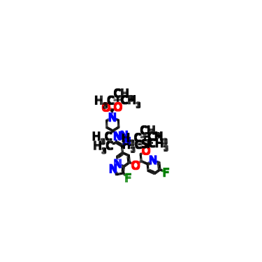 Cc1c(-c2cc(OC(CO[Si](C)(C)C(C)(C)C)c3ccc(F)cn3)c3c(F)cnn3c2)nnn1C1(C)CCN(C(=O)OC(C)(C)C)CC1